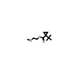 COCCOC(=O)C1(C(C)(C)C)CC1